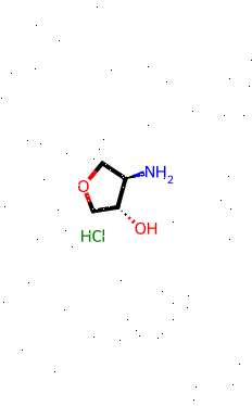 Cl.N[C@@H]1COC[C@H]1O